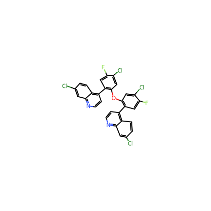 Fc1cc(-c2ccnc3cc(Cl)ccc23)c(Oc2cc(Cl)c(F)cc2-c2ccnc3cc(Cl)ccc23)cc1Cl